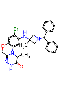 CC1C(=O)NN=C2COc3cc(Br)c(NC4(C)CN(C(c5ccccc5)c5ccccc5)C4)cc3N21